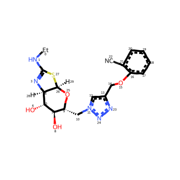 CCNC1=N[C@@H]2[C@@H](O)[C@H](O)[C@@H](Cn3cc(COc4ccccc4C#N)nn3)O[C@@H]2S1